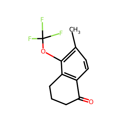 Cc1ccc2c(c1OC(F)(F)F)CCCC2=O